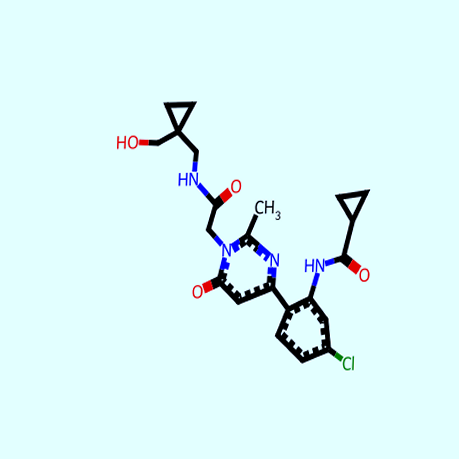 Cc1nc(-c2ccc(Cl)cc2NC(=O)C2CC2)cc(=O)n1CC(=O)NCC1(CO)CC1